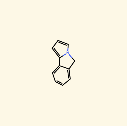 c1ccc2c(c1)Cn1cccc1-2